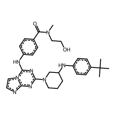 CN(CCO)C(=O)c1ccc(Nc2nc(N3CCCC(Nc4ccc(C(C)(C)C)cc4)C3)nc3nccn23)cc1